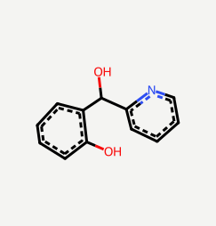 Oc1ccccc1C(O)c1ccccn1